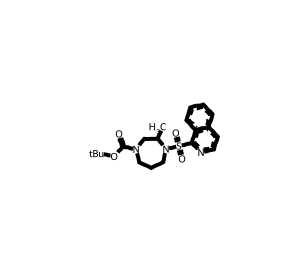 CC1CN(C(=O)OC(C)(C)C)CCCN1S(=O)(=O)c1nccc2ccccc12